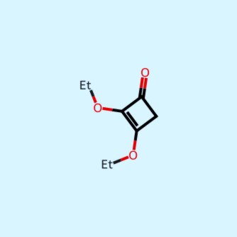 CCOC1=C(OCC)C(=O)C1